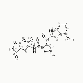 COc1cccc2[nH]c(C(=O)N3C[C@H](C)C[C@H]3C(=O)N[C@@H](C[C@@H]3CCNC3=O)C(N)=O)cc12